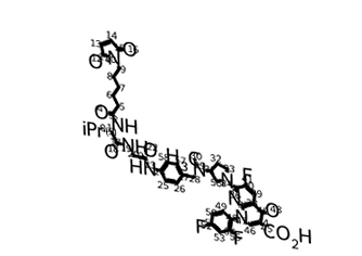 CC(C)[C@H](NC(=O)CCCCCN1C(=O)C=CC1=O)C(=O)NCC(=O)Nc1ccc(CN(C)C2CCN(c3nc4c(cc3F)c(=O)c(C(=O)O)cn4-c3ccc(F)cc3F)C2)cc1